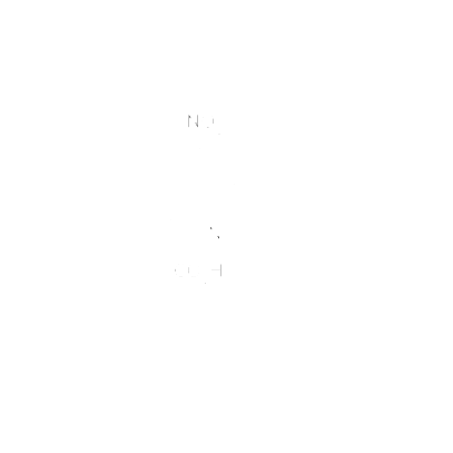 Cc1cccc(CN2c3ccc([N+](=O)[O-])cc3CC2C(=O)O)c1